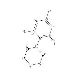 Cc1cc(C)c(C2OCCCO2)c(C)c1